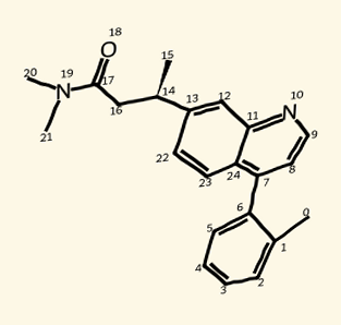 Cc1ccccc1-c1ccnc2cc([C@H](C)CC(=O)N(C)C)ccc12